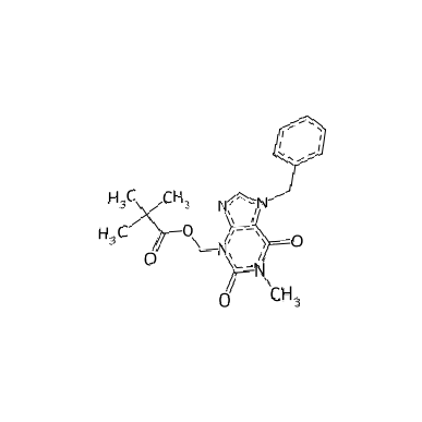 Cn1c(=O)c2c(ncn2Cc2ccccc2)n(COC(=O)C(C)(C)C)c1=O